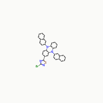 Brc1nsc(-c2ccc3c(c2)N(c2ccc4ccccc4c2)c2ccccc2N3c2ccc3ccccc3c2)n1